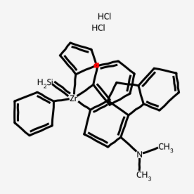 CN(C)c1cc[c]([Zr](=[SiH2])([C]2=CC=CC2)([c]2ccccc2)[c]2ccccc2)c2c1-c1ccccc1C2.Cl.Cl